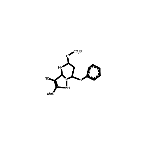 CCOC(=O)OC1CC(Sc2ccccc2)N2NC(SC)=C(C#N)C2N1